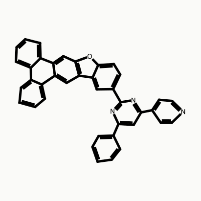 c1ccc(-c2cc(-c3ccncc3)nc(-c3ccc4oc5cc6c7ccccc7c7ccccc7c6cc5c4c3)n2)cc1